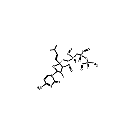 CC(C)/C=C/[C@]1(COP(=O)(N=O)OP(=O)(N=O)OP(=O)(N=O)N=O)OC(n2ccc(N)nc2=O)[C@H](F)[C@@H]1N=O